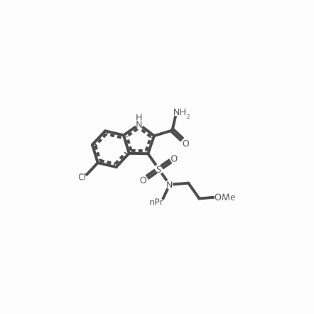 CCCN(CCOC)S(=O)(=O)c1c(C(N)=O)[nH]c2ccc(Cl)cc12